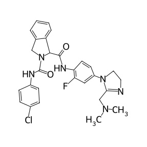 CN(C)CC1=NCCN1c1ccc(NC(=O)C2c3ccccc3CN2C(=O)Nc2ccc(Cl)cc2)c(F)c1